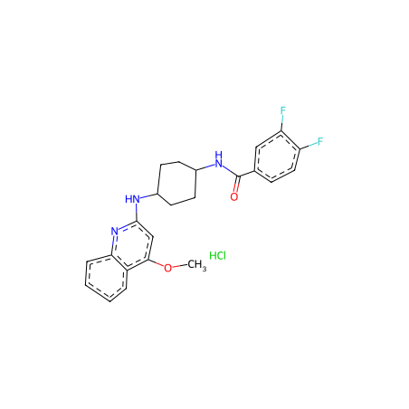 COc1cc(NC2CCC(NC(=O)c3ccc(F)c(F)c3)CC2)nc2ccccc12.Cl